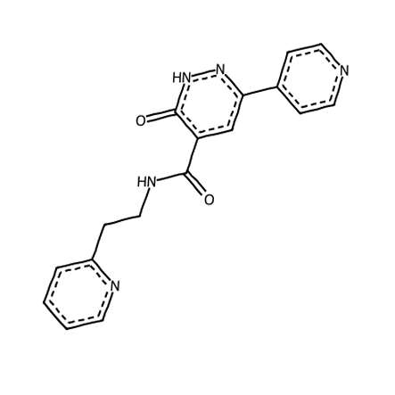 O=C(NCCc1ccccn1)c1cc(-c2ccncc2)n[nH]c1=O